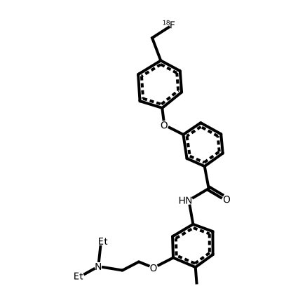 CCN(CC)CCOc1cc(NC(=O)c2cccc(Oc3ccc(C[18F])cc3)c2)ccc1C